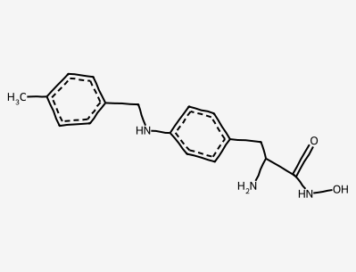 Cc1ccc(CNc2ccc(CC(N)C(=O)NO)cc2)cc1